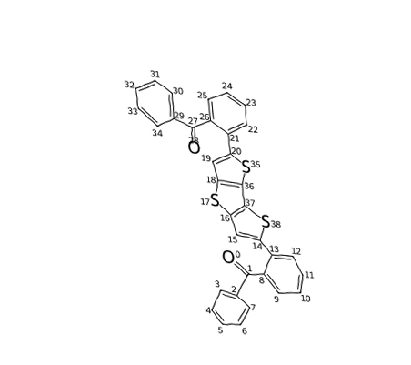 O=C(c1ccccc1)c1ccccc1-c1cc2sc3cc(-c4ccccc4C(=O)c4ccccc4)sc3c2s1